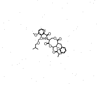 COc1ccnc(C(=O)NC2COC(=O)C(Cc3ccccc3)C(OC(=O)C(C)C)C(C)OC2=O)c1OCOCC(C)C